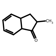 CC1CC2C=CC=CC2C1=O